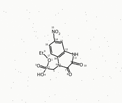 CCOP(=O)(O)Cn1c(=O)c(=O)[nH]c2cc([N+](=O)[O-])ccc21